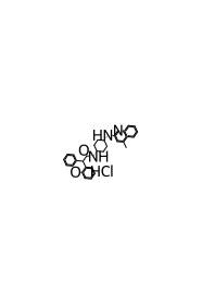 Cc1cc(N[C@H]2CC[C@@H](NC(=O)C3c4ccccc4Oc4ccccc43)CC2)nc2ccccc12.Cl